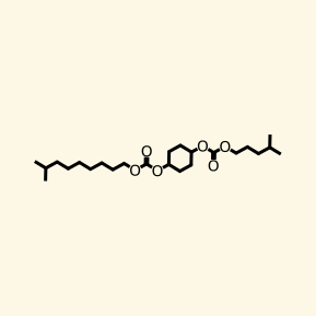 CC(C)CCCCCCCOC(=O)OC1CCC(OC(=O)OCCCC(C)C)CC1